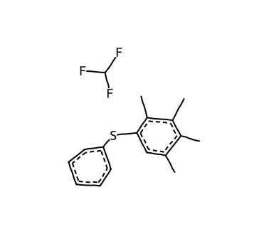 Cc1cc(Sc2ccccc2)c(C)c(C)c1C.FC(F)F